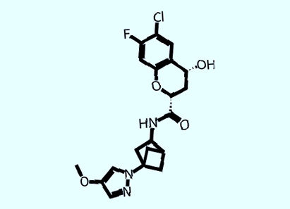 COc1cnn(C23CC(C2)C(NC(=O)[C@H]2C[C@@H](O)c4cc(Cl)c(F)cc4O2)C3)c1